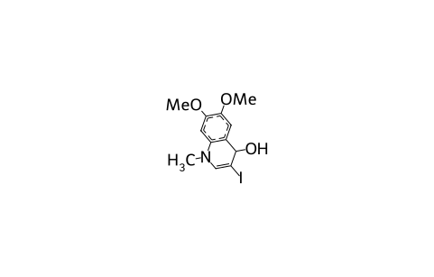 COc1cc2c(cc1OC)N(C)C=C(I)C2O